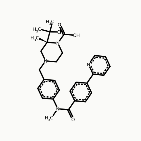 CN(C(=O)c1ccc(-c2ccccn2)cc1)c1ccc(CN2CCN(C(=O)O)[C@@](C)(C(C)(C)C)C2)cc1